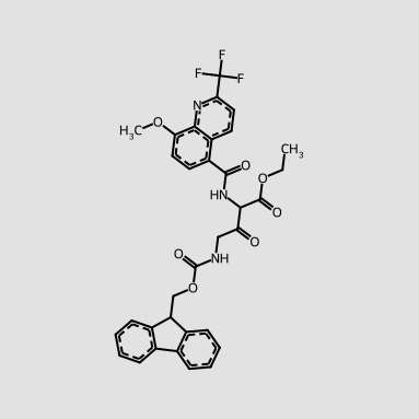 CCOC(=O)C(NC(=O)c1ccc(OC)c2nc(C(F)(F)F)ccc12)C(=O)CNC(=O)OCC1c2ccccc2-c2ccccc21